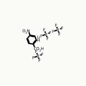 F[B-](F)(F)F.F[B-](F)(F)F.F[B-](F)(F)F.O=C(O)c1ccc([N+](=O)[O-])cc1.[LiH]